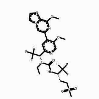 CCN(C(=O)N[C@@H](CCS(C)(=O)=O)C(F)(F)F)[C@@H](c1cc(-c2cn3ccnc3c(OC)n2)c(OC)cn1)C(F)(F)F